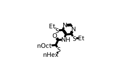 CCCCCCCCC(SCCCCCC)C(=O)Nc1c(SCC)ncnc1SCC